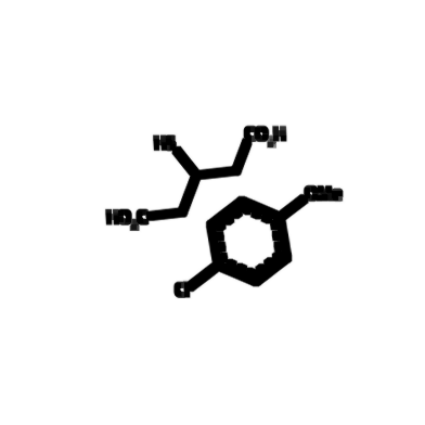 COc1ccc(Cl)cc1.O=C(O)CC(S)CC(=O)O